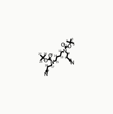 CC(C)(C)OC(=O)N(CCC#N)CCCCN(CCC#N)C(=O)OC(C)(C)C